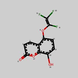 O=c1ccc2c(OC(F)=C(F)F)ccc(O)c2o1